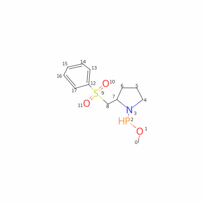 COPN1CCCC1CS(=O)(=O)c1ccccc1